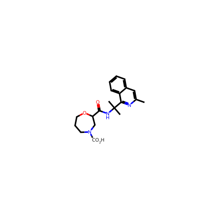 Cc1cc2ccccc2c(C(C)(C)NC(=O)C2CN(C(=O)O)CCCO2)n1